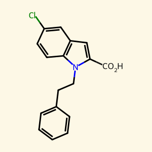 O=C(O)c1cc2cc(Cl)ccc2n1CCc1ccccc1